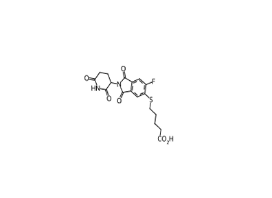 O=C(O)CCCCSc1cc2c(cc1F)C(=O)N(C1CCC(=O)NC1=O)C2=O